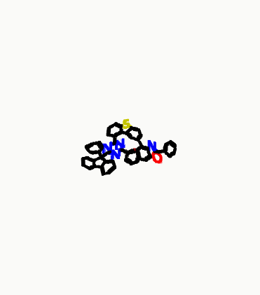 c1ccc(-c2nc(-c3cccc4sc5ccc(-c6cccc7oc(-c8ccccc8)nc67)cc5c34)nc(C3(c4ccccc4)c4ccccc4-c4ccccc43)n2)cc1